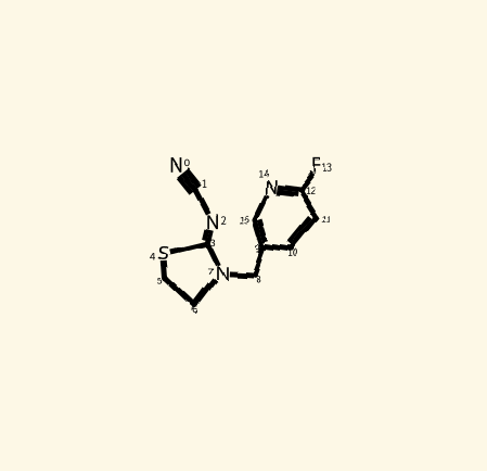 N#CN=C1SCCN1Cc1ccc(F)nc1